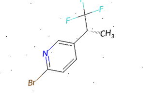 C[C@H](c1ccc(Br)nc1)C(F)(F)F